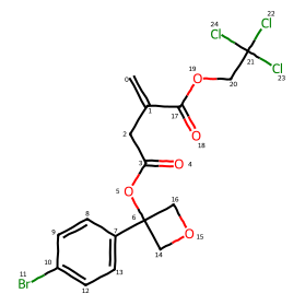 C=C(CC(=O)OC1(c2ccc(Br)cc2)COC1)C(=O)OCC(Cl)(Cl)Cl